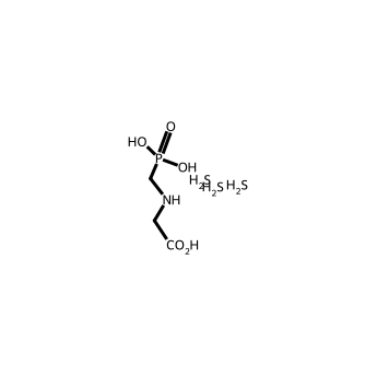 O=C(O)CNCP(=O)(O)O.S.S.S